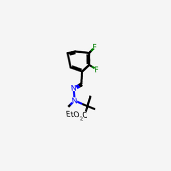 CCOC(=O)C(C)(C)N(C)/N=C/c1cccc(F)c1F